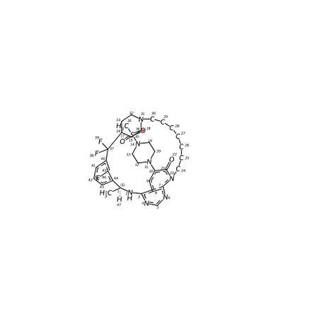 C[C@@H]1Nc2ncnc3c2cc(N2CCN(S(C)(=O)=O)CC2)c(=O)n3CCCCCCCN2CCC(CC2)C(F)(F)c2cccc1c2F